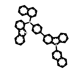 c1ccc2cc(-n3c4ccccc4c4cc(-c5ccc(N(c6cccc7ccccc67)c6cccc7c6sc6ccccc67)cc5)ccc43)ccc2c1